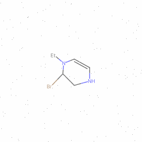 CCN1C=CNCC1Br